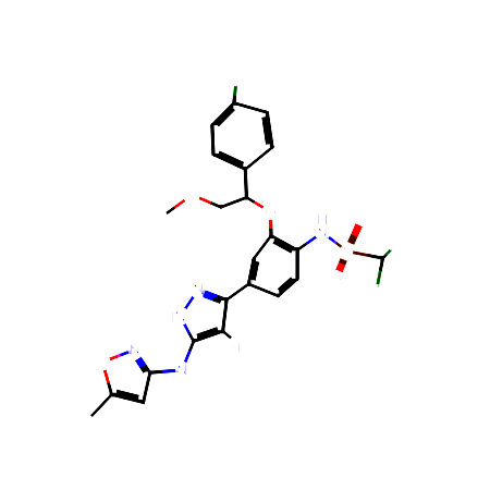 [2H]c1c(-c2ccc(NS(=O)(=O)C(F)F)c(OC(COC)c3ccc(F)cc3)c2)n[nH]c1Nc1cc(C)on1